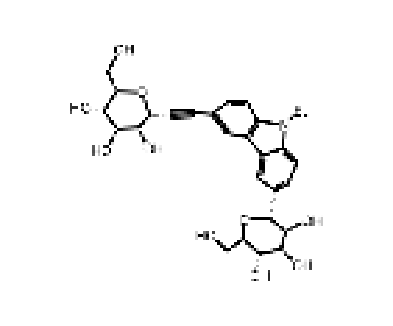 CCn1c2ccc(C#C[C@H]3O[C@H](CO)[C@@H](O)[C@H](O)[C@@H]3O)cc2c2cc([C@H]3OC(CO)[C@@H](O)[C@H](O)[C@@H]3O)ccc21